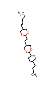 CCC/C=C/C1COC(CCC2COC(C3CCC(CCCC)CC3)OC2)OC1